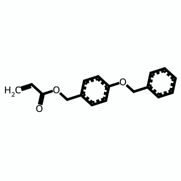 C=CC(=O)OCc1ccc(OCc2ccccc2)cc1